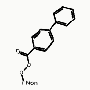 [CH2]CCCCCCCCOOC(=O)c1ccc(-c2ccccc2)cc1